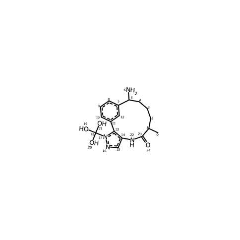 CC1CCCC(N)c2cccc(c2)-c2c(cnn2C(O)(O)O)NC1=O